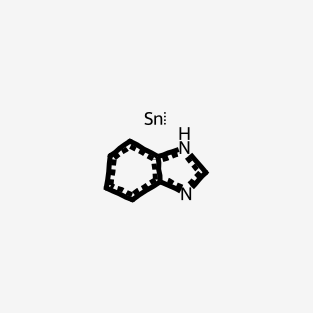 [Sn].c1ccc2[nH]cnc2c1